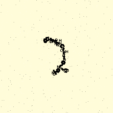 Cc1noc(C)c1-c1ccc2c(c1)nc(CCc1ccc(OCCOCCNC(=O)CN3CCC(Nc4cc(C(=O)NC[C@H](O)CN5CCc6ccccc6C5)ncn4)CC3)cc1)n2CCN1CCOCC1